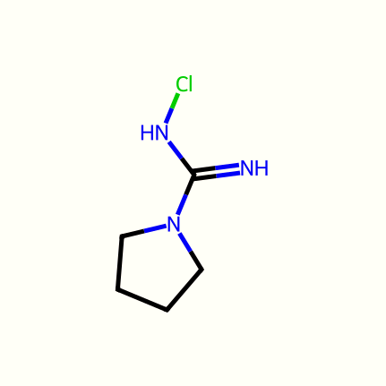 N=C(NCl)N1CCCC1